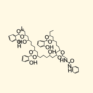 CCC1CC(CCCC2CC(CC(O)CCCC3CC(CCCC(O)CC4C[C@H](C)OC(c5ccccc5O)O4)OC(c4ccccc4O)O3)OC(CNC(=O)Nc3ccccc3)O2)OC(c2ccccc2O)O1